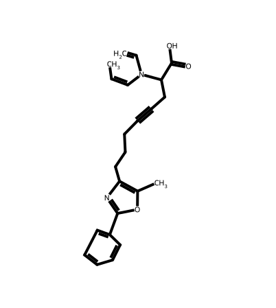 C=CN(/C=C\C)C(CC#CCCCc1nc(-c2ccccc2)oc1C)C(=O)O